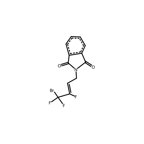 O=C1c2ccccc2C(=O)N1CC=C(F)C(F)(F)Br